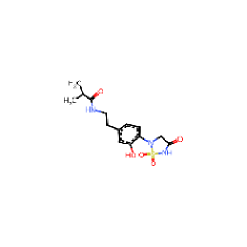 CC(C)C(=O)NCCc1ccc(N2CC(=O)NS2(=O)=O)c(O)c1